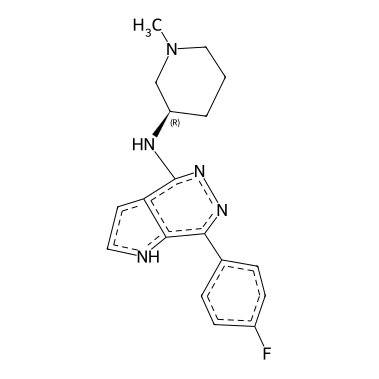 CN1CCC[C@@H](Nc2nnc(-c3ccc(F)cc3)c3[nH]ccc23)C1